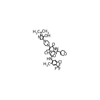 CCc1c(N2CCN(c3cnn(C(C)C)c3O)CC2)c(=O)n2nc(C3=CCOCC3)nc2n1CC(=O)Nc1cc(Cl)c(C(F)(F)F)cc1C